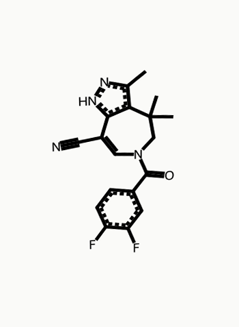 Cc1n[nH]c2c1C(C)(C)CN(C(=O)c1ccc(F)c(F)c1)C=C2C#N